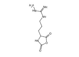 N=C(NP)NCCCC1NC(=O)OC1=O